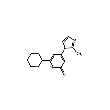 Cc1nccn1-c1cc(C2CCCCC2)[nH]c(=O)c1